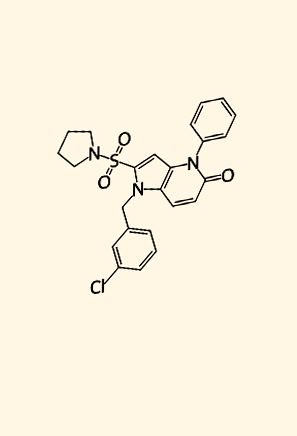 O=c1ccc2c(cc(S(=O)(=O)N3CCCC3)n2Cc2cccc(Cl)c2)n1-c1ccccc1